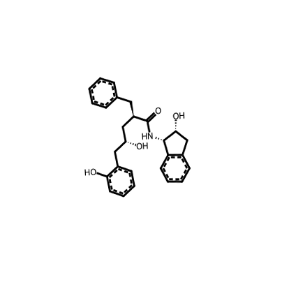 O=C(N[C@H]1c2ccccc2C[C@H]1O)[C@H](Cc1ccccc1)C[C@H](O)Cc1ccccc1O